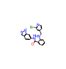 Cn1ncc2ccc(NC(=O)c3ccccc3NCc3ccnc(Br)c3)cc21